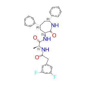 C[C@H](NC(=O)Cc1cc(F)cc(F)c1)C(=O)N[C@H]1C[C@H](c2ccccc2)C[C@H](c2ccccc2)NC1=O